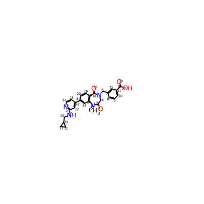 CN1C(=O)CN(Cc2cccc(C(=O)O)c2)C(=O)c2ccc(-c3ccnc(NCC4CC4)c3)cc21